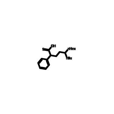 CCCCCCC(CCCC)CCC(C(O)=S)c1ccccc1